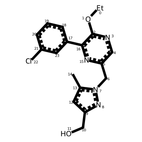 CCOc1ncc(Cn2nc(CO)cc2C)nc1-c1cccc(Cl)c1